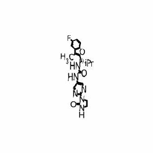 Cc1c([C@@H](NC(=O)Nc2cnc(N3CCNC3=O)nc2)C(C)C)oc2ccc(F)cc12